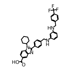 O=C(O)c1ccc2c(c1)nc(-c1ccc(CNc3cccc(NCc4ccc(C(F)(F)F)cc4)c3)cc1)n2C1CCCCC1